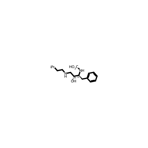 CC(C)CCNC[C@@H](O)[C@H](Cc1ccccc1)NC(=O)O